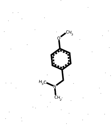 [CH2]N(C)Cc1ccc(OC)cc1